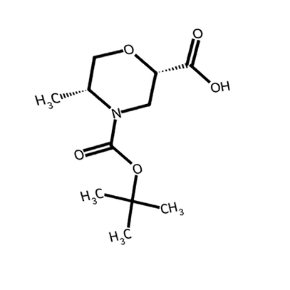 C[C@@H]1CO[C@H](C(=O)O)CN1C(=O)OC(C)(C)C